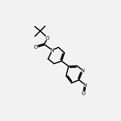 CC(C)(C)OC(=O)N1CC=C(c2ccc(N=O)nc2)CC1